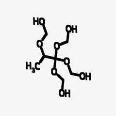 CC(OCO)C(OCO)(OCO)OCO